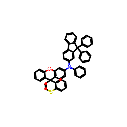 c1ccc(N(c2ccc3c(c2)Oc2ccccc2C32c3ccccc3Sc3ccccc32)c2ccc3c(c2)C(c2ccccc2)(c2ccccc2)c2ccccc2-3)cc1